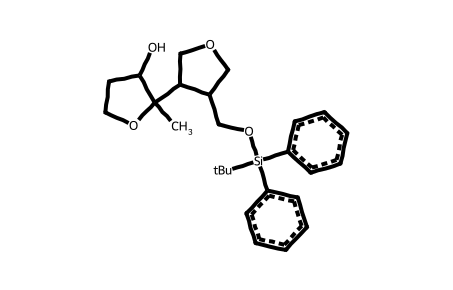 CC1(C2COCC2CO[Si](c2ccccc2)(c2ccccc2)C(C)(C)C)OCCC1O